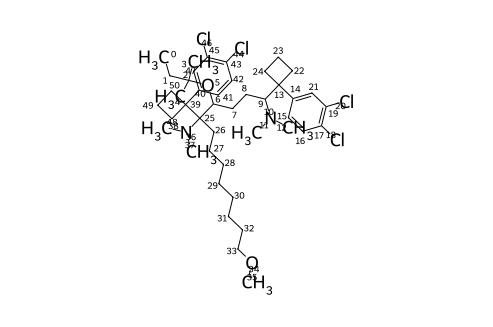 CCC(C)(C)OC(CCC(N(C)C)C1(c2ccc(Cl)c(Cl)c2)CCC1)C(CCCCCCCCOC)(N(C)C)C1(c2ccc(Cl)c(Cl)c2)CCC1